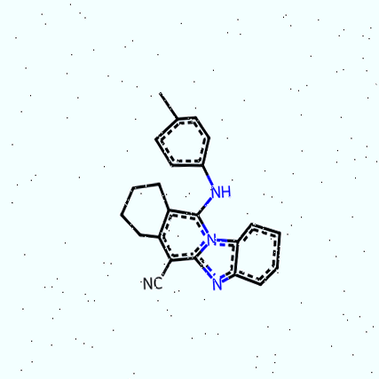 Cc1ccc(Nc2c3c(c(C#N)c4nc5ccccc5n24)CCCC3)cc1